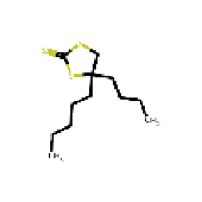 CCCCCC1(CCCC)CSC(=S)S1